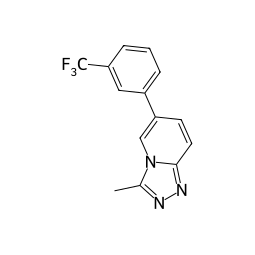 Cc1nnc2ccc(-c3cccc(C(F)(F)F)c3)cn12